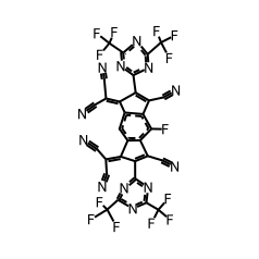 N#CC(C#N)=C1C(c2nc(C(F)(F)F)nc(C(F)(F)F)n2)=C(C#N)c2c1cc1c(c2F)C(C#N)=C(c2nc(C(F)(F)F)nc(C(F)(F)F)n2)C1=C(C#N)C#N